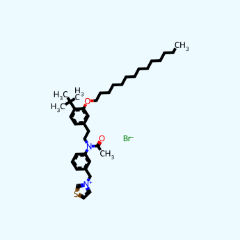 CCCCCCCCCCCCCCOc1cc(CCN(C(C)=O)c2cccc(C[n+]3ccsc3)c2)ccc1C(C)(C)C.[Br-]